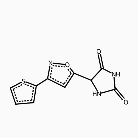 O=C1NC(=O)C(c2cc(-c3cccs3)no2)N1